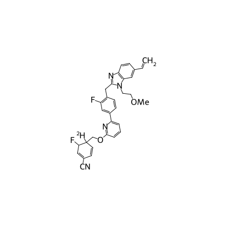 [2H]C1(COc2cccc(-c3ccc(Cc4nc5ccc(C=C)cc5n4CCOC)c(F)c3)n2)C=CC(C#N)=CC1F